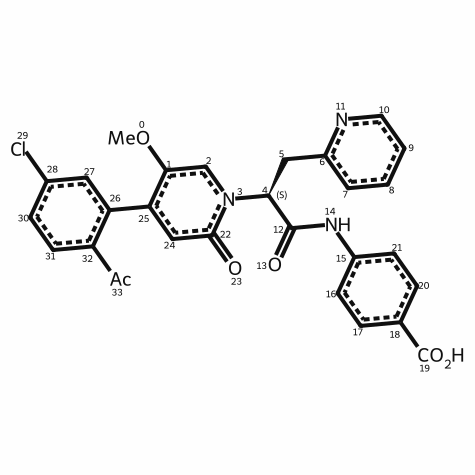 COc1cn([C@@H](Cc2ccccn2)C(=O)Nc2ccc(C(=O)O)cc2)c(=O)cc1-c1cc(Cl)ccc1C(C)=O